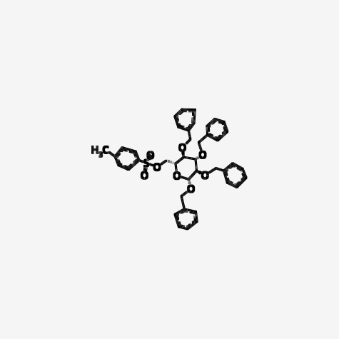 Cc1ccc(S(=O)(=O)OC[C@H]2O[C@@H](OCc3ccccc3)[C@H](OCc3ccccc3)[C@@H](OCc3ccccc3)[C@@H]2OCc2ccccc2)cc1